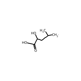 [CH2]C(C)CC(O)C(=O)O